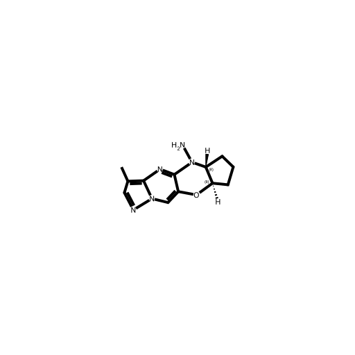 Cc1cnn2cc3c(nc12)N(N)[C@@H]1CCC[C@H]1O3